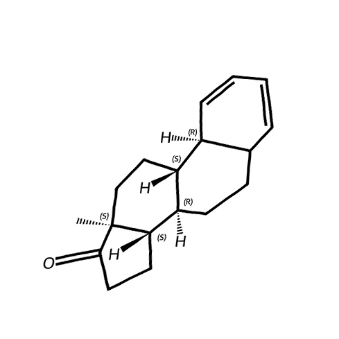 C[C@]12CC[C@H]3[C@@H](CCC4C=CC=C[C@@H]43)[C@@H]1CCC2=O